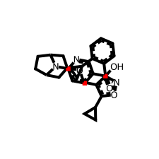 O=C(O)c1ccc(N2C3CCC2CC(OCc2c(-c4ccccc4C4CC4)noc2C2CC2)C3)nc1